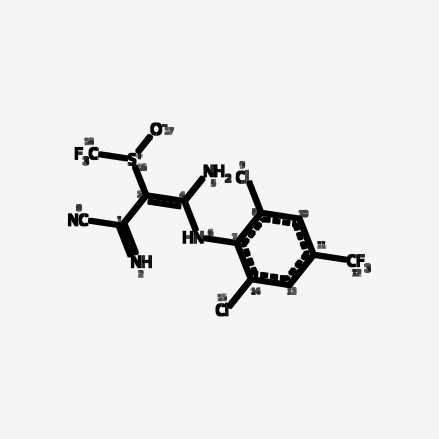 N#CC(=N)/C(=C(/N)Nc1c(Cl)cc(C(F)(F)F)cc1Cl)[S+]([O-])C(F)(F)F